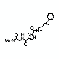 CNC(=O)CNC(=O)c1cnc(C(=O)NCCCOc2ccccc2)[nH]1